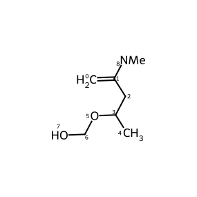 C=C(CC(C)OCO)NC